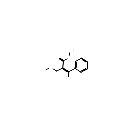 C/C(=C(\COO)C(=O)OP)c1ccccc1